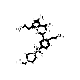 C=C1NC(c2cc(S(=O)(=O)N3CCN(CC)CC3)ccc2CCC)=Nn2c(CCC)nc(C)c21